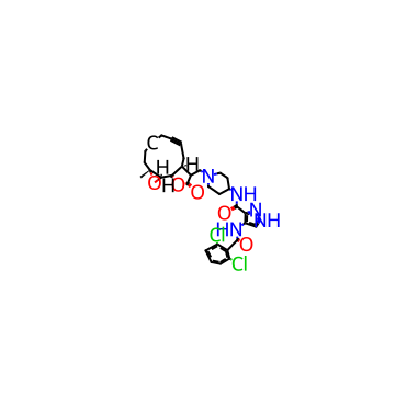 C[C@@]12CCCCC#CC[C@H]3C(CN4CCC(NC(=O)c5n[nH]cc5NC(=O)c5c(Cl)cccc5Cl)CC4)C(=O)O[C@@H]3[C@H]1O2